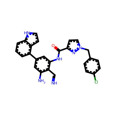 N=Cc1c(N)cc(-c2cccc3[nH]ccc23)cc1NC(=O)c1ccn(Cc2ccc(Cl)cc2)n1